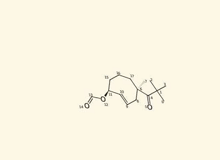 CC(C)(C)C(=O)[C@@]1(C)C/C=C/[C@@H](OC=O)CCC1